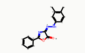 Cc1ccc(N/N=C2/N=C(c3ccccc3)OC2=O)cc1C